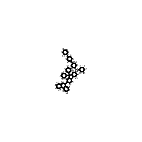 c1ccc(-c2ccc(-c3ccc(N(c4ccccc4)c4ccc5c(c4)C(c4ccccc4)(c4ccccc4)c4cc(-c6cc7ccccc7c7ccccc67)ccc4-5)cc3)cc2)cc1